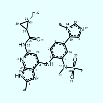 Cc1nc2c(Nc3ccc(-c4cncn4C)cc3N(C)S(C)(=O)=O)cc(NC(=O)C3C[C@@H]3F)nc2[nH]1